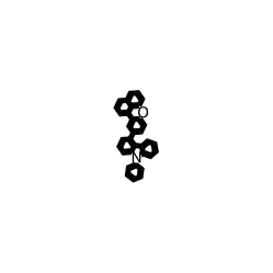 c1ccc(-n2c3ccccc3c3c(-c4ccc5c(c4)-c4cccc6cccc(c46)O5)cccc32)cc1